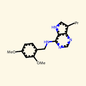 COc1ccc(CNc2ncnc3c(C(C)C)c[nH]c23)c(OC)c1